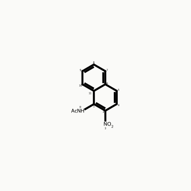 CC(=O)Nc1c([N+](=O)[O-])ccc2ccccc12